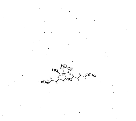 CCCCCCCCCCCCCCOC(CCCCCCCCCCCCCC)C(CO)(CO)CO